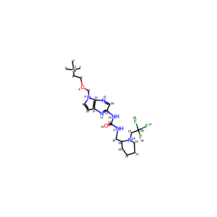 C[Si](C)(C)CCOCn1ccc2nc(NC(=O)NCC3CCCCN3CC(F)(F)F)cnc21